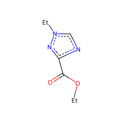 CCOC(=O)c1ncn(CC)n1